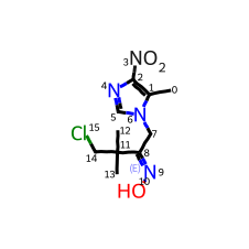 Cc1c([N+](=O)[O-])ncn1C/C(=N/O)C(C)(C)CCl